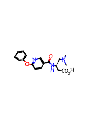 CN(C)C[C@@H](CC(=O)O)NC(=O)c1ccc(Oc2ccccc2)nc1